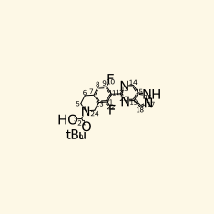 CC(C)(C)OC(O)N1CCc2cc(F)c(-c3ncc4[nH]ncc4n3)c(F)c2C1